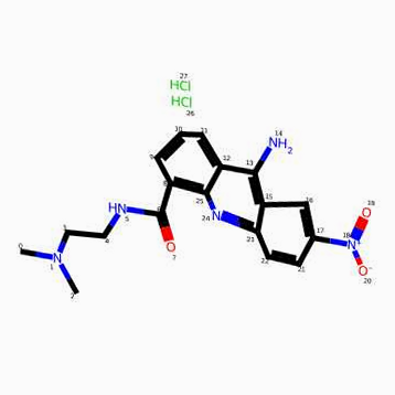 CN(C)CCNC(=O)c1cccc2c(N)c3cc([N+](=O)[O-])ccc3nc12.Cl.Cl